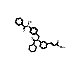 COC(=O)/C=C/c1cccc(N(Cc2ccc(N(C)C(=O)c3ccccc3)cc2)C(=O)C2CCCCC2)c1